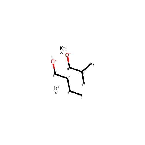 CC(C)C[O-].CCCC[O-].[K+].[K+]